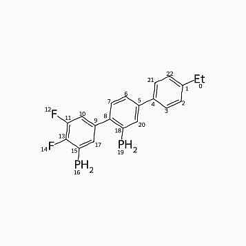 CCc1ccc(-c2ccc(-c3cc(F)c(F)c(P)c3)c(P)c2)cc1